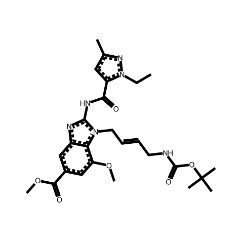 CCn1nc(C)cc1C(=O)Nc1nc2cc(C(=O)OC)cc(OC)c2n1C/C=C/CNC(=O)OC(C)(C)C